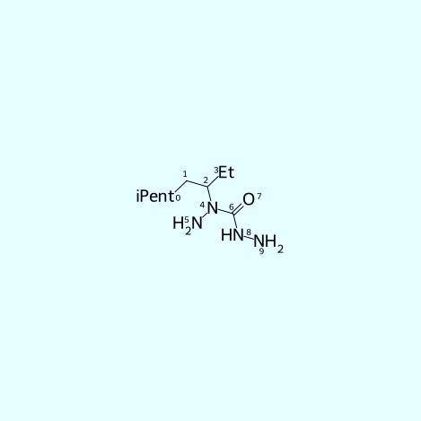 CCCC(C)CC(CC)N(N)C(=O)NN